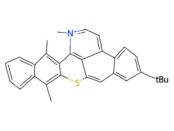 Cc1c2c(c(C)c3ccccc13)-c1c3c(cc4cc(C(C)(C)C)ccc4c3cc[n+]1C)S2